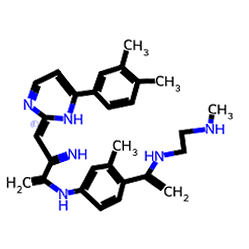 C=C(Nc1ccc(C(=C)NCCNC)c(C)c1)C(=N)/C=C1/N=CC=C(c2ccc(C)c(C)c2)N1